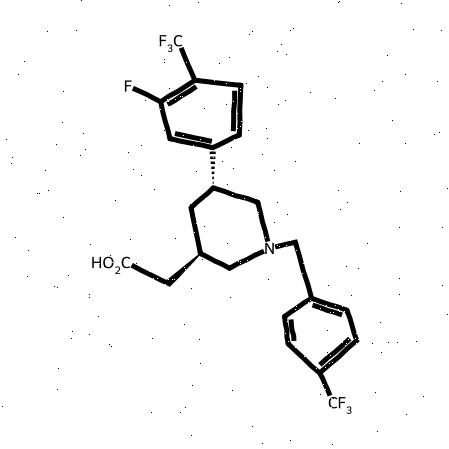 O=C(O)C[C@H]1C[C@H](c2ccc(C(F)(F)F)c(F)c2)CN(Cc2ccc(C(F)(F)F)cc2)C1